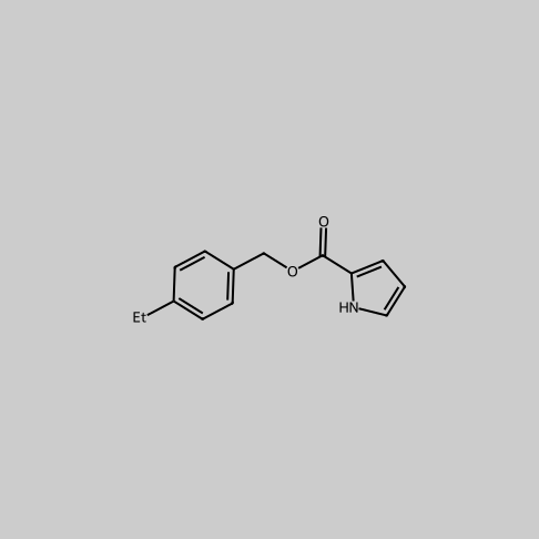 CCc1ccc(COC(=O)c2ccc[nH]2)cc1